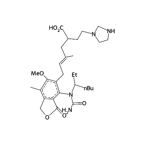 CCCCC(CC)N(C(N)=O)c1c(C/C=C(\C)CC(CCN2CCNC2)C(=O)O)c(OC)c(C)c2c1C(=O)OC2